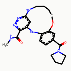 CNC(=O)c1nnc2cc1Nc1ccc(C(=O)N3CCCC3)cc1OCCCCN2